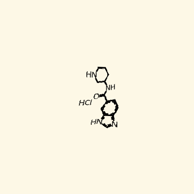 Cl.O=C(NC1CCCNC1)c1ccc2nc[nH]c2c1